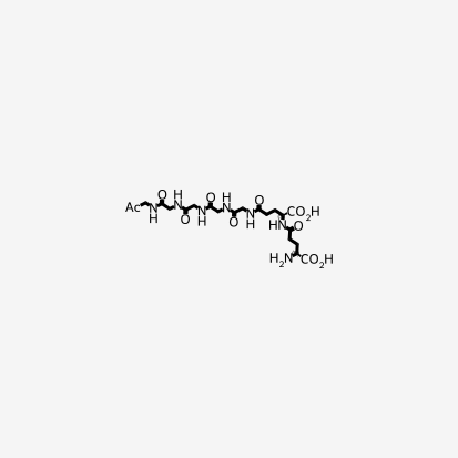 CC(=O)CNC(=O)CNC(=O)CNC(=O)CNC(=O)CNC(=O)CC[C@H](NC(=O)CC[C@H](N)C(=O)O)C(=O)O